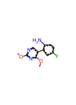 COc1ncc(-c2cc(F)ccc2N)c(OC)n1